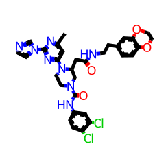 Cc1cc(N2CCN(C(=O)Nc3ccc(Cl)c(Cl)c3)CC2CC(=O)NCCc2ccc3c(c2)OCCO3)nc(-n2ccnc2)n1